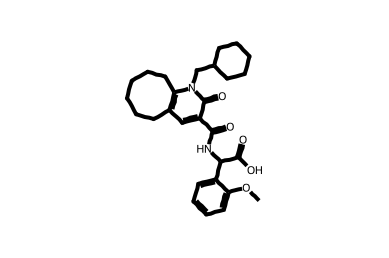 COc1ccccc1C(NC(=O)c1cc2c(n(CC3CCCCC3)c1=O)CCCCCC2)C(=O)O